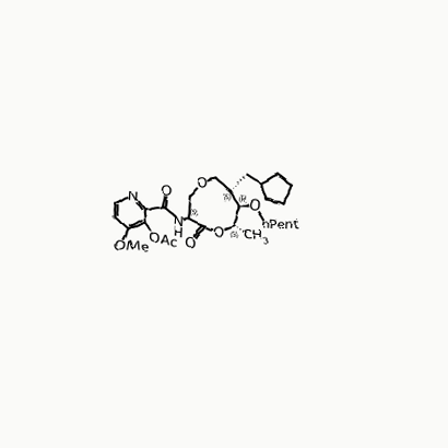 CCCCCO[C@@H]1[C@@H](CC2CCCC2)COC[C@H](NC(=O)c2nccc(OC)c2OC(C)=O)C(=O)O[C@H]1C